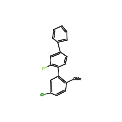 COc1ccc(Cl)cc1-c1ccc(-c2ccccc2)cc1F